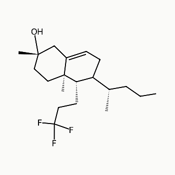 CCC[C@H](C)C1CC=C2C[C@@](C)(O)CC[C@]2(C)[C@H]1CCC(F)(F)F